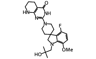 COc1ccc(F)c2c1N(CC(C)(C)O)CC21CCN(c2nc3c(c(=O)[nH]2)CCCN3)CC1